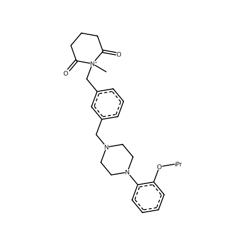 CC(C)Oc1ccccc1N1CCN(Cc2cccc(C[N+]3(C)C(=O)CCCC3=O)c2)CC1